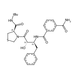 CC(C)(C)NC(=O)[C@@H]1CSCN1C(=O)[C@@H](O)[C@H](Cc1ccccc1)NC(=O)c1cccc(C(N)=O)c1